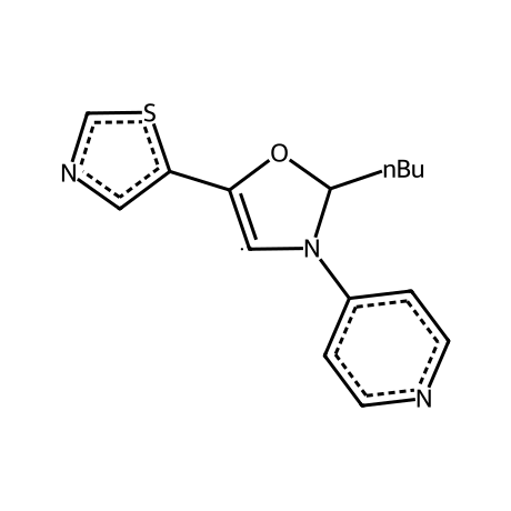 CCCCC1OC(c2cncs2)=[C]N1c1ccncc1